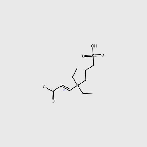 CC[N+](/C=C/C(=O)[O-])(CC)CCCS(=O)(=O)O